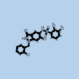 O=c1[nH]n(Cc2ccccc2Cl)c2cc(Cl)c(NS(=O)(=O)c3cccc(Cl)c3Cl)cc12